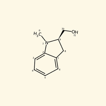 CN1c2ccccc2C[C@@H]1CO